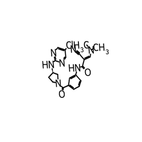 CN(C)C=C(C#N)C(=O)Nc1cccc(C(=O)N2CC[C@@H](Nc3ncc(Cl)cn3)C2)c1